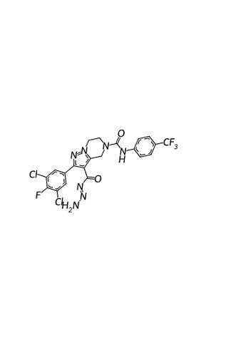 NN=NC(=O)c1c(-c2cc(Cl)c(F)c(Cl)c2)nn2c1CN(C(=O)Nc1ccc(C(F)(F)F)cc1)CC2